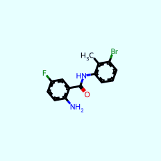 Cc1c(Br)cccc1NC(=O)c1cc(F)ccc1N